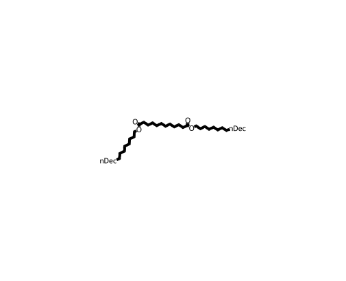 CCCCCCCCCCCCCCCCCCOC(=O)CCCCCCCCCCC(=O)OCCCCCCCCCCCCCCCCCC